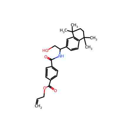 C=CCOC(=O)c1ccc(C(=O)NC(CO)c2ccc3c(c2)C(C)(C)CCC3(C)C)cc1